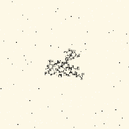 N#Cc1c(N)sc2c(F)ccc(-c3c(Cl)c4c5c(nc(OC[C@@]67CCCN6C[C@H](F)C7)nc5c3F)N(CC(F)F)[C@@H](C#CC3CC3)CO4)c12